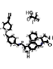 N#CC1CCN(Cc2ccc(/C=C/c3n[nH]c4cc(/C=C5/C(=O)NCC5c5ccccc5)ccc34)cc2)CC1.O=C(O)C(F)(F)F